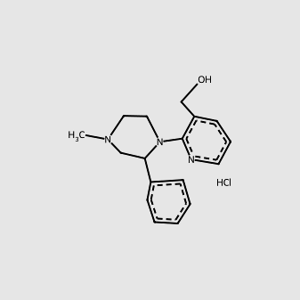 CN1CCN(c2ncccc2CO)C(c2ccccc2)C1.Cl